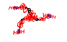 CC(C(=O)OCC(=O)OCCCCON(O)O)c1ccc2cc(OC(=O)COC(=O)CC(O)(CC(=O)OCC(=O)Oc3ccc4ccc(C(C)C(=O)OCC(=O)OCCCCON(O)O)cc4c3)C(=O)OCC(=O)Oc3ccc4cc(C(C)C(=O)OCC(=O)OCCCCON(O)O)ccc4c3)ccc2c1